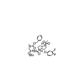 C[C@@H](C(=O)N[C@H](C(=O)N1CC[C@@H]2[C@H]1[C@@H](Oc1ccc(F)c(F)c1)CN2S(C)(=O)=O)C(C)(C)C)N(C)C(=O)OCc1ccccc1